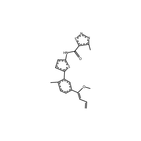 C=C/C=C(\OC)c1ccc(C)c(-c2ccc(NC(=O)c3snnc3C)s2)c1